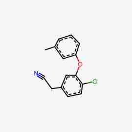 Cc1cccc(Oc2cc([CH]C#N)ccc2Cl)c1